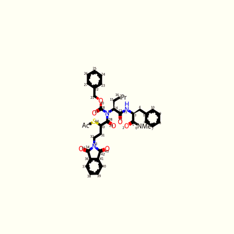 CNC(=O)[C@H](Cc1ccccc1)NC(=O)[C@H](CC(C)C)N(C(=O)OCc1ccccc1)C(=O)C(CCN1C(=O)c2ccccc2C1=O)SC(C)=O